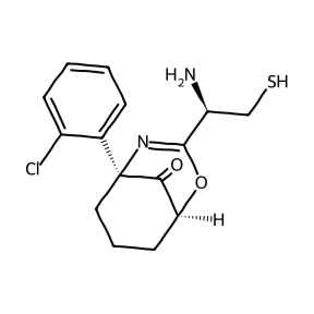 N[C@@H](CS)C1=N[C@]2(c3ccccc3Cl)CCC[C@H](O1)C2=O